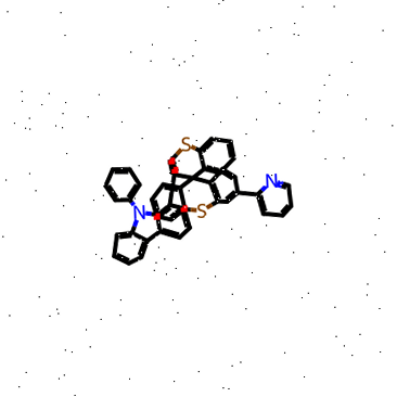 c1ccc(-n2c3ccccc3c3cccc(-c4cccc5c4C4(c6ccccc6Sc6cc(-c7ccccn7)ccc64)c4ccccc4S5)c32)cc1